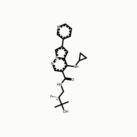 CC(C)(O)[C@H](F)CNC(=O)c1cnn2cc(-c3cccnc3)cc2c1NC1CC1